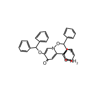 NOC(CF)c1cc(=O)c(OC(c2ccccc2)c2ccccc2)cn1OC(c1ccccc1)c1ccccc1